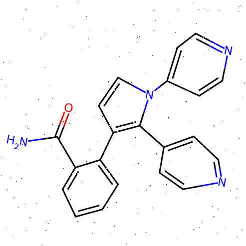 NC(=O)c1ccccc1-c1ccn(-c2ccncc2)c1-c1ccncc1